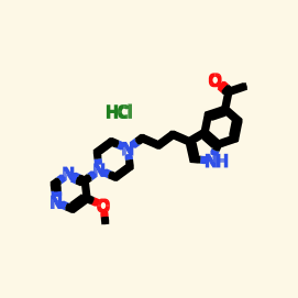 COc1cncnc1N1CCN(CCCc2c[nH]c3ccc(C(C)=O)cc23)CC1.Cl